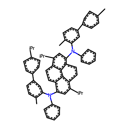 Cc1ccc(-c2ccc(C)c(N(c3ccccc3)c3cc(C(C)C)c4ccc5c(N(c6ccccc6)c6cc(-c7ccc(C(C)C)cc7)ccc6C)cc(C(C)C)c6ccc3c4c65)c2)cc1